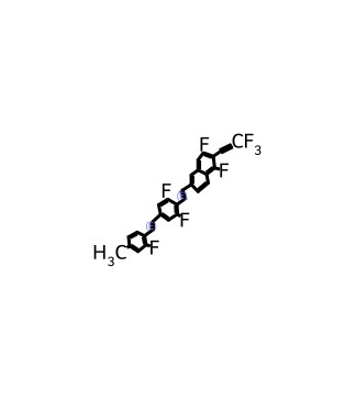 Cc1ccc(/C=C/c2cc(F)c(/C=C/c3ccc4c(F)c(C#CC(F)(F)F)c(F)cc4c3)c(F)c2)c(F)c1